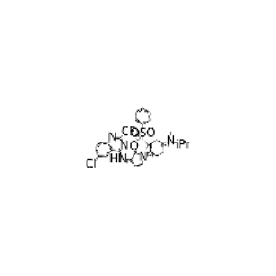 CC(C)N(C)[C@@H]1CC[C@H](N2CC[C@H](Nc3nc(C(F)(F)F)nc4ccc(Cl)cc34)C2=O)[C@H](CS(=O)(=O)c2ccccc2)C1